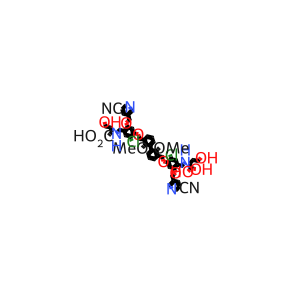 COc1c(COc2cc(OCc3cncc(C#N)c3)c(CNC(CCO)C(=O)O)cc2Cl)cccc1-c1cccc(COc2cc(OCc3cncc(C#N)c3)c(CNC(CCO)C(O)O)cc2Cl)c1OC